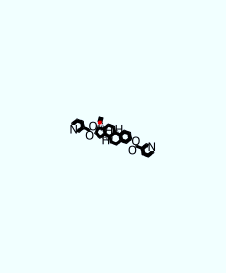 C#C[C@@]1(OC(=O)c2cccnc2)CC[C@H]2[C@@H]3CCc4cc(OC(=O)c5cccnc5)ccc4[C@H]3CC[C@@]21C